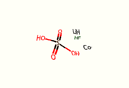 F.O=S(=O)(O)O.[Co].[LiH]